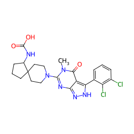 Cn1c(N2CCC3(CCCC3NC(=O)O)CC2)nc2n[nH]c(-c3cccc(Cl)c3Cl)c2c1=O